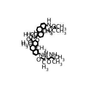 CC(C)[C@H](N)C(=O)N[C@@H](C)C(=O)Nc1ccc2c(c1)[C@@]1(C)CCC[C@](C)(C(=O)N(C)C(=O)[C@@]3(C)CCC[C@]4(C)c5cc(NC(=O)OC(C)(C)C)ccc5CC[C@@H]34)[C@]1(C)CC2